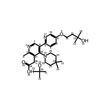 Cc1ncc(-c2ccc(OCCC(C)(C)O)cn2)c(N2CCC(C)(C)CC2)c1[C@H](OC(C)(C)C)C(=O)O